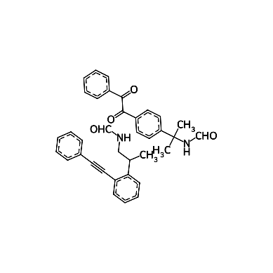 CC(C)(NC=O)c1ccc(C(=O)C(=O)c2ccccc2)cc1.CC(CNC=O)c1ccccc1C#Cc1ccccc1